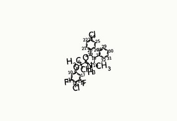 C[C@H](NC(=O)C(C)(C)Oc1cc(F)c(Cl)c(F)c1)[C@@H](Cc1ccc(Cl)cc1)c1ccccc1